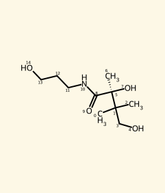 CC(C)(CO)[C@](C)(O)C(=O)NCCCO